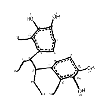 CCC(c1ccc(O)c(O)c1C)C(CC)c1ccc(O)c(O)c1C